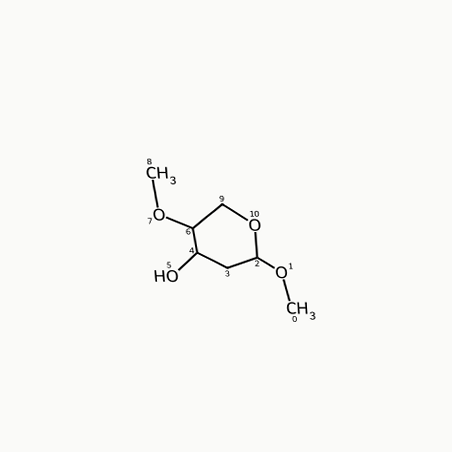 COC1CC(O)C(OC)CO1